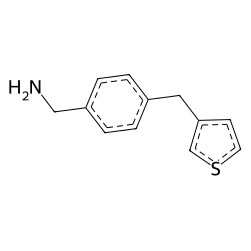 NCc1ccc(Cc2ccsc2)cc1